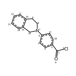 O=C(Cl)c1ccc(N2CCc3ccccc3C2)cc1